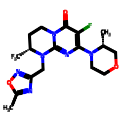 Cc1nc(CN2c3nc(N4CCOC[C@H]4C)c(F)c(=O)n3CC[C@H]2C(F)(F)F)no1